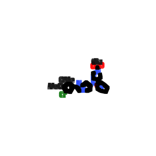 COc1cc(OC)c(-c2cn3ccc(NC4CC5CCC(C4)N5CC4CCN(C(=O)OC(C)(C)C)CC4)cc3n2)cc1Cl